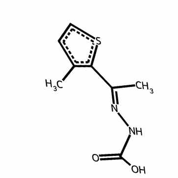 CC(=NNC(=O)O)c1sccc1C